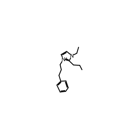 CCCc1n(CC)cc[n+]1CCCc1ccccc1